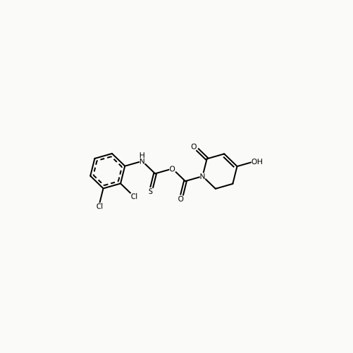 O=C1C=C(O)CCN1C(=O)OC(=S)Nc1cccc(Cl)c1Cl